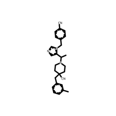 Cc1cccc(CC2(C#N)CCN(C(C)c3cncn3Cc3ccc(C#N)cc3)CC2)c1